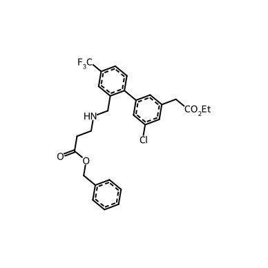 CCOC(=O)Cc1cc(Cl)cc(-c2ccc(C(F)(F)F)cc2CNCCC(=O)OCc2ccccc2)c1